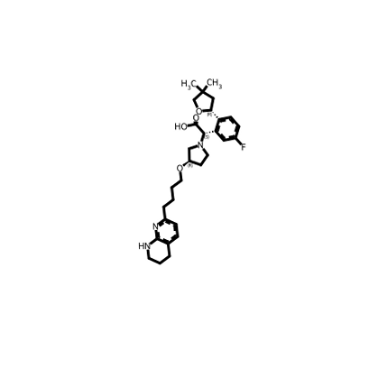 CC1(C)CO[C@@H](c2ccc(F)cc2[C@@H](C(=O)O)N2CC[C@@H](OCCCCc3ccc4c(n3)NCCC4)C2)C1